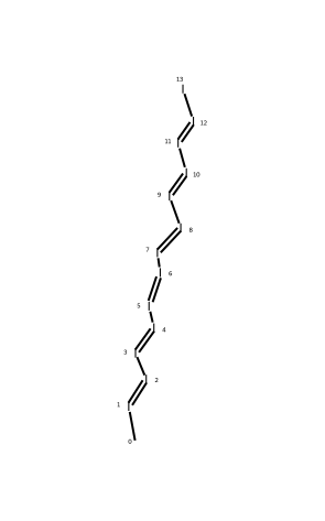 CI=II=II=II=II=II=II